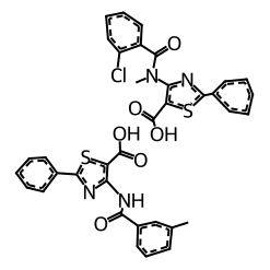 CN(C(=O)c1ccccc1Cl)c1nc(-c2ccccc2)sc1C(=O)O.Cc1cccc(C(=O)Nc2nc(-c3ccccc3)sc2C(=O)O)c1